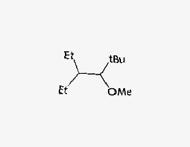 CCC(CC)C(OC)C(C)(C)C